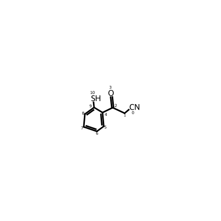 N#CCC(=O)c1ccccc1S